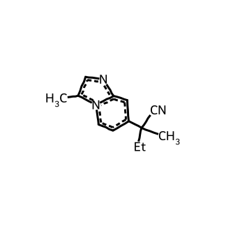 CCC(C)(C#N)c1ccn2c(C)cnc2c1